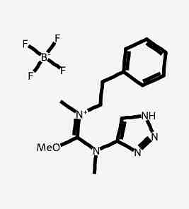 COC(N(C)c1c[nH]nn1)=[N+](C)CCc1ccccc1.F[B-](F)(F)F